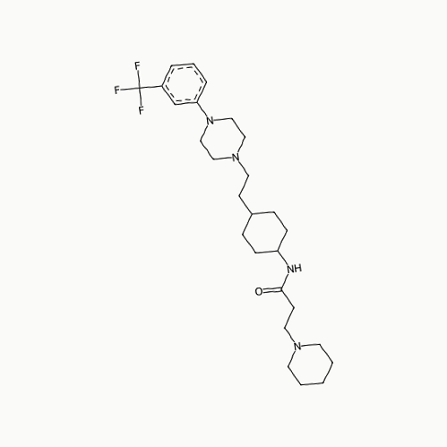 O=C(CCN1CCCCC1)NC1CCC(CCN2CCN(c3cccc(C(F)(F)F)c3)CC2)CC1